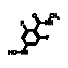 CNC(=O)c1c(F)cc(BO)cc1F